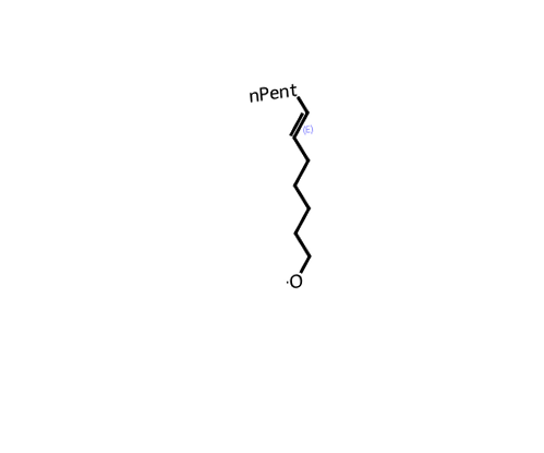 CCCCC/C=C/CCCCC[O]